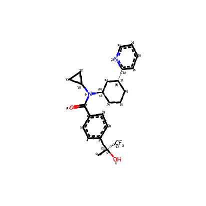 C[C@](O)(c1ccc(C(=O)N(C2CC2)[C@@H]2CCC[C@@H](c3ccccn3)C2)cc1)C(F)(F)F